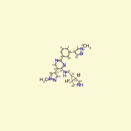 Cn1cc(-c2cccc(-c3ncc(-c4cnn(C)c4)c(NCC4[C@H]5CNC[C@@H]45)n3)c2)cn1